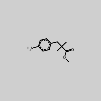 COC(=O)C(C)(C)Cc1ccc(N)cc1